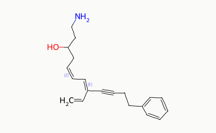 C=C/C(C#CCCc1ccccc1)=C\C=C/CC(O)CCN